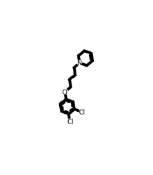 Clc1ccc(OCCCCN2CC=CCC2)cc1Cl